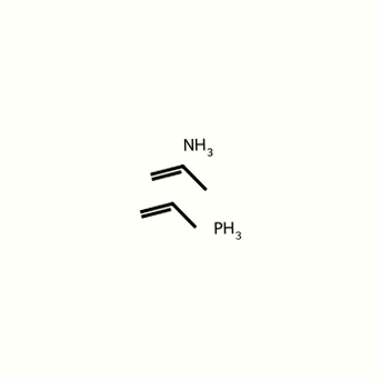 C=CC.C=CC.N.P